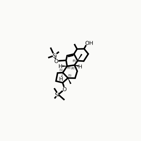 CC1C2=CC(O[Si](C)(C)C)[C@@H]3[C@@H](CC[C@]4(C)C(O[Si](C)(C)C)CC[C@@H]34)[C@@]2(C)CCC1O